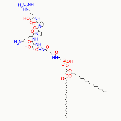 CCCCCCCCCCCCCCCC(=O)OCC(COP(=O)(O)OCCNC(=O)CCCC(=O)NCC(=O)NC(C(=O)NC(CCCCN)C(=O)N1CCCC1C(=O)N1CCCC1C(=O)NC(CCCNC(=N)N)C(=O)O)C(C)O)OC(=O)CCCCCCCCCCCCCCC